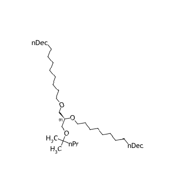 CCCCCCCCCCCCCCCCCCOC[C@H](COC(C)(C)CCC)OCCCCCCCCCCCCCCCCCC